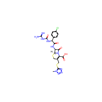 Cn1nnnc1SCC1=C(C(=O)O)N2C(=O)C(NC(=O)C(NC(=O)NC(=N)N)c3ccc(Cl)cc3)[C@@H]2SC1